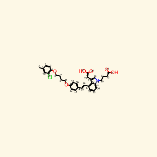 Cc1ccc(OCCCCOc2ccc(C=Cc3cccc4c3c(CC(=O)O)cn4CCCC(=O)O)cc2)c(Cl)c1